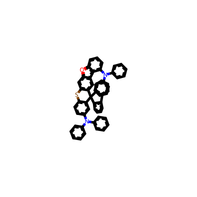 c1ccc(N(c2ccccc2)c2ccc3c(c2)C2(c4cc5c(cc4S3)oc3cccc(N(c4ccccc4)c4ccccc4)c35)c3ccccc3-c3ccccc32)cc1